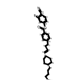 CCCCC[C@H]1CC[C@H](/C=C/CCc2ccc(C(=O)Oc3ccc(C#N)c(F)c3)cc2)CC1